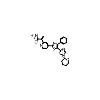 C=C(C(N)=O)c1cc(-c2nc(-c3ccccc3)c(-c3ncn(C4CCCCO4)n3)s2)ccn1